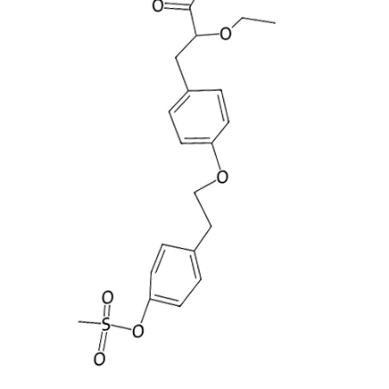 CCOC(Cc1ccc(OCCc2ccc(OS(C)(=O)=O)cc2)cc1)C(=O)O